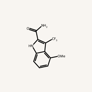 COc1cccc2[nH]c(C(N)=O)c(C(F)(F)F)c12